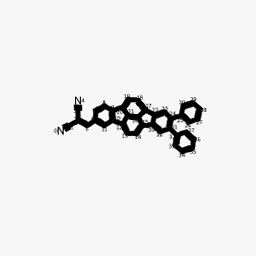 N#CC(C#N)=Cc1ccc2c(c1)-c1ccc3c4c(ccc-2c14)-c1cc(-c2ccccc2)c(-c2ccccc2)cc1-3